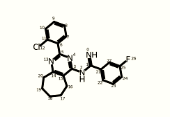 N=C(Nc1nc(-c2ccccc2Cl)nc2c1CCCCC2)c1cccc(F)c1